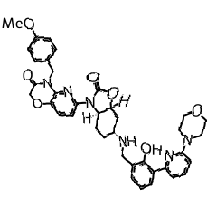 COc1ccc(CN2C(=O)COc3ccc(N4C(=O)O[C@@H]5C[C@H](NCc6cccc(-c7cccc(N8CCOCC8)n7)c6O)CC[C@H]54)nc32)cc1